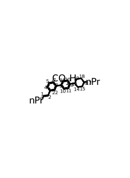 CCC/C=C/c1ccc(C(=O)O)c(-c2ccc(C3CCC(CCC)CC3)cc2)c1